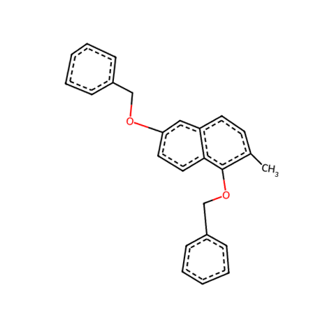 Cc1ccc2cc(OCc3ccccc3)ccc2c1OCc1ccccc1